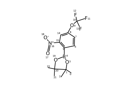 CC1(C)OB(c2ccc(OC(F)(F)F)cc2[N+](=O)[O-])OC1(C)C